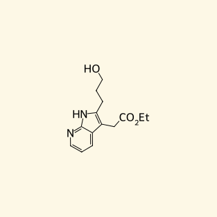 CCOC(=O)Cc1c(CCCO)[nH]c2ncccc12